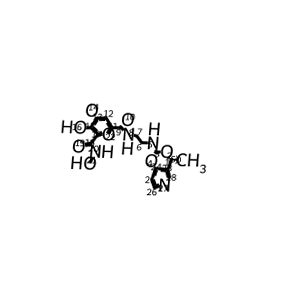 C[C@H](OC(=O)NCCNC(=O)c1cc(=O)c(O)c(C(=O)NO)o1)c1cccnc1